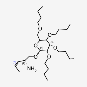 C/C=C\[C@@H](N)CO[C@H]1OC(COCCCC)C(OCCCC)[C@H](OCCCC)C1OCCCC